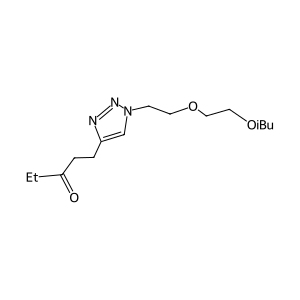 CCC(=O)CCc1cn(CCOCCOCC(C)C)nn1